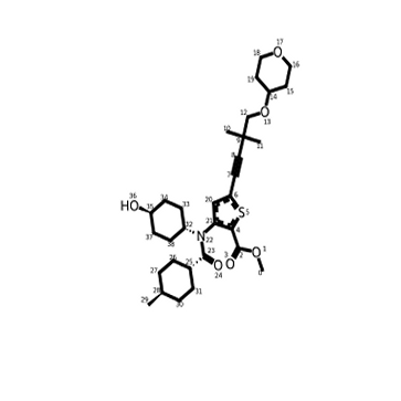 COC(=O)c1sc(C#CC(C)(C)COC2CCOCC2)cc1N(C(=O)[C@H]1CC[C@H](C)CC1)[C@H]1CC[C@H](O)CC1